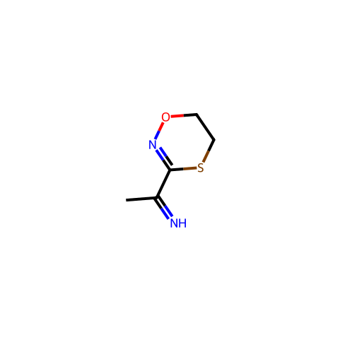 CC(=N)C1=NOCCS1